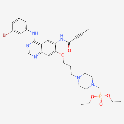 CC#CC(=O)Nc1cc2c(Nc3cccc(Br)c3)ncnc2cc1OCCCN1CCN(CP(=O)(OCC)OCC)CC1